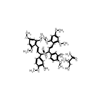 COc1cc(OC)c(C=CC(c2ccc(OC)c(N)c2)S(=O)(=O)C(C=Cc2c(OC)cc(OC)cc2OC)c2ccc(OC)c(N)c2)c(OC)c1.NC(=O)[C@H](N)CO